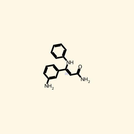 NC(=O)/C=C(\Nc1ccccc1)c1cccc(N)c1